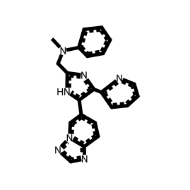 CN(Cc1nc(-c2ccccn2)c(-c2ccc3ncnn3c2)[nH]1)c1ccccc1